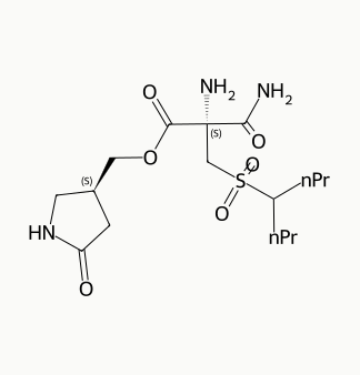 CCCC(CCC)S(=O)(=O)C[C@](N)(C(N)=O)C(=O)OC[C@@H]1CNC(=O)C1